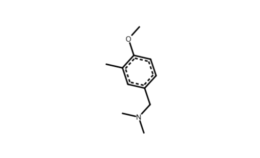 COc1ccc(CN(C)C)cc1C